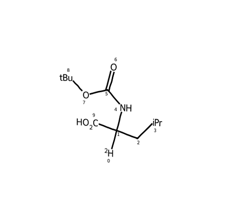 [2H]C(CC(C)C)(NC(=O)OC(C)(C)C)C(=O)O